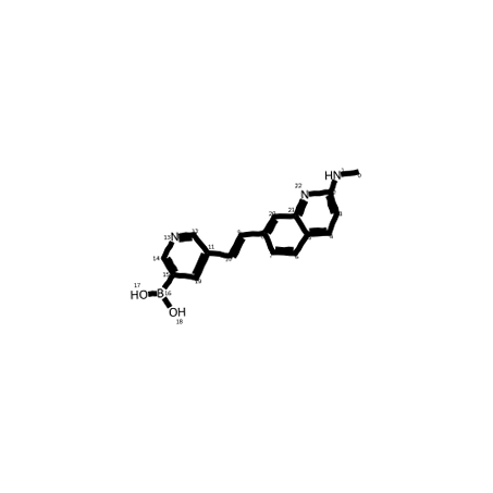 CNc1ccc2ccc(/C=C/c3cncc(B(O)O)c3)cc2n1